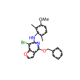 COc1ccc(C)c(Nc2nc(OCc3ccccc3)c3ccoc3c2Br)c1C